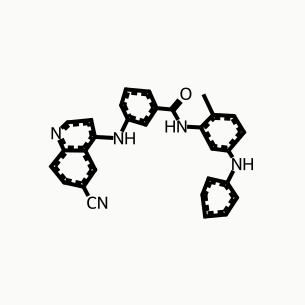 Cc1ccc(Nc2ccccc2)cc1NC(=O)c1cccc(Nc2ccnc3ccc(C#N)cc23)c1